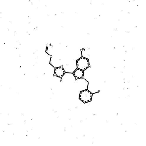 C=COCc1n[nH]c(-c2nn(Cc3ccccc3F)c3ncc(CCC)cc23)n1